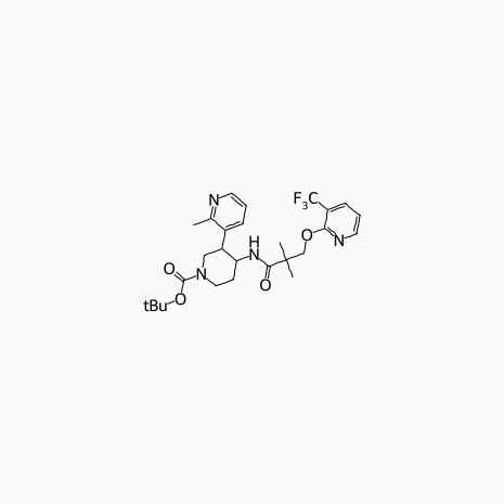 Cc1ncccc1C1CN(C(=O)OC(C)(C)C)CCC1NC(=O)C(C)(C)COc1ncccc1C(F)(F)F